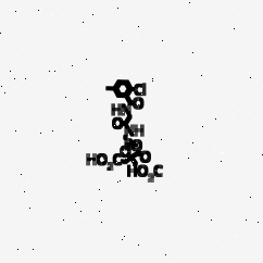 Cc1ccc(Cl)c(C(=O)NCC(=O)NCB2OC(=O)C(CC(=O)O)(CC(=O)O)O2)c1